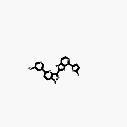 Oc1cncc(-c2ccc3[nH]nc(-c4nc5c(-c6ccc(F)s6)nccc5[nH]4)c3n2)c1